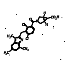 Cc1cc(C(F)(F)F)cc2c1nc(Cc1c(Cl)ccc(C(=O)N3C[C@@H]4C(C(=O)O)[C@@H]4C3)c1Cl)n2C